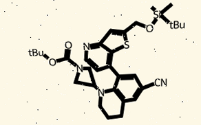 CC(C)(C)OC(=O)N1CC(N2CCCc3cc(C#N)cc(-c4ccnc5cc(CO[Si](C)(C)C(C)(C)C)sc45)c32)C1